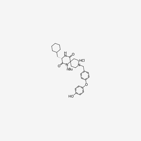 CCCCN1C(=O)[C@H](CC2CCCCC2)NC(=O)C12CCN(Cc1ccc(Oc3ccc(O)cc3)cc1)CC2.Cl